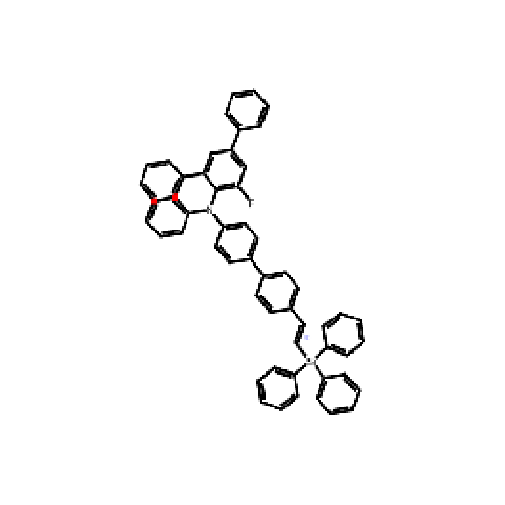 Fc1cc(-c2ccccc2)cc(-c2ccccc2)c1N(c1ccccc1)c1ccc(-c2ccc(/C=C/[Si](c3ccccc3)(c3ccccc3)c3ccccc3)cc2)cc1